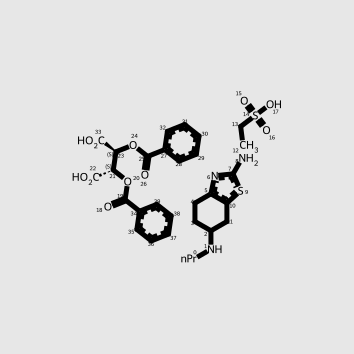 CCCNC1CCc2nc(N)sc2C1.CCS(=O)(=O)O.O=C(O[C@H](C(=O)O)[C@H](OC(=O)c1ccccc1)C(=O)O)c1ccccc1